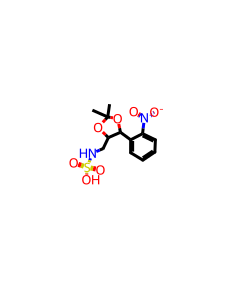 CC1(C)OC(CNS(=O)(=O)O)C(c2ccccc2[N+](=O)[O-])O1